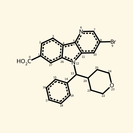 O=C(O)c1ccc2c3ncc(Br)cc3n(C(c3ccccc3)C3CCOCC3)c2c1